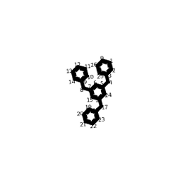 c1ccc(Cc2cc(Cc3ccccc3)cc(Cc3ccccc3)c2)cc1